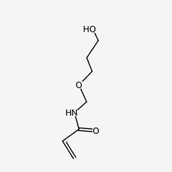 C=CC(=O)NCOCCCO